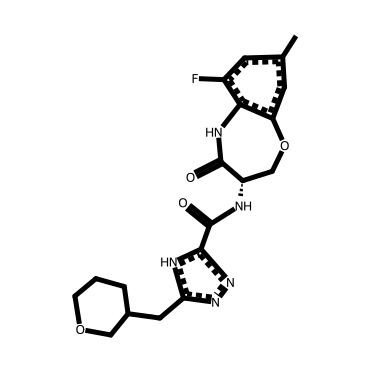 Cc1cc(F)c2c(c1)OC[C@H](NC(=O)c1nnc(CC3CCCOC3)[nH]1)C(=O)N2